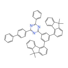 CC1(C)c2ccccc2-c2c(-c3cc(-c4nc(-c5ccccc5)nc(-c5ccc(-c6ccccc6)cc5)n4)cc(-c4cccc5c4-c4ccccc4C5(C)C)c3)cccc21